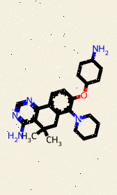 CC1(C)Cc2c(ccc(OC3CCC(N)CC3)c2N2CCCCC2)-c2ncnc(N)c21